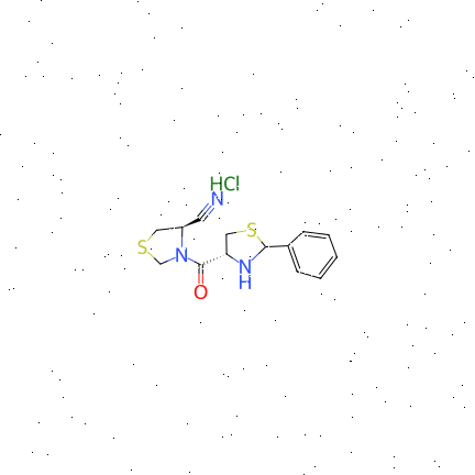 Cl.N#C[C@@H]1CSCN1C(=O)[C@@H]1CSC(c2ccccc2)N1